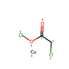 O=C(CCl)OCl.[Cu]